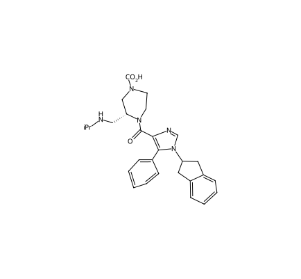 CC(C)NC[C@@H]1CN(C(=O)O)CCN1C(=O)c1ncn(C2Cc3ccccc3C2)c1-c1ccccc1